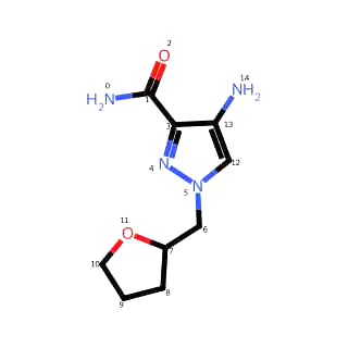 NC(=O)c1nn(CC2CCCO2)cc1N